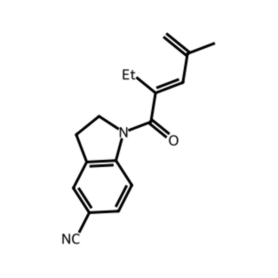 C=C(C)/C=C(\CC)C(=O)N1CCc2cc(C#N)ccc21